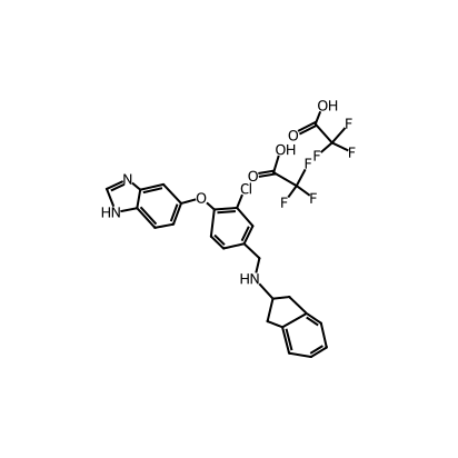 Clc1cc(CNC2Cc3ccccc3C2)ccc1Oc1ccc2[nH]cnc2c1.O=C(O)C(F)(F)F.O=C(O)C(F)(F)F